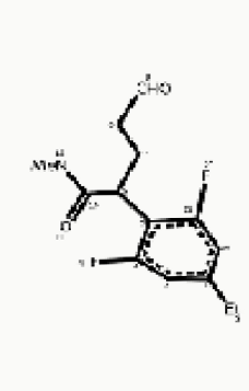 CCc1cc(F)c(C(CCC=O)C(=O)NC)c(F)c1